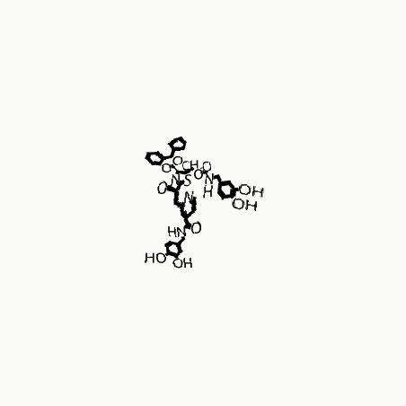 C[C@@]1(COC(=O)NCc2ccc(O)c(O)c2)SC2/C(=C\c3cc(C(=O)NCc4ccc(O)c(O)c4)ccn3)C(=O)N2[C@H]1C(=O)OC(c1ccccc1)c1ccccc1